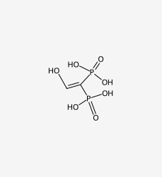 O=P(O)(O)C(=CO)P(=O)(O)O